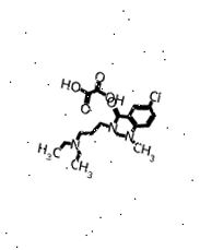 CCN(CC)CCCN1CN(C)c2ccc(Cl)cc2C1=O.O=C(O)C(=O)O